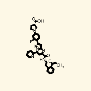 C/C=C(/C)c1ccccc1CCNC(=O)c1cc(-c2ccccn2)n2nc(-c3ccc(N4CC[C@H](C(=O)O)C4)cc3F)cc2n1